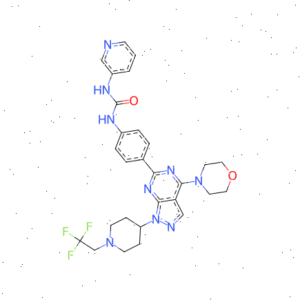 O=C(Nc1ccc(-c2nc(N3CCOCC3)c3cnn(C4CCN(CC(F)(F)F)CC4)c3n2)cc1)Nc1cccnc1